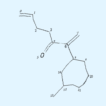 C=CCCC(=O)C(=C)C1CCCC(C)C1